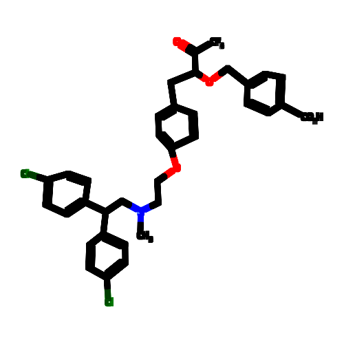 CN(CCOc1ccc(CC(OCc2ccc(C(=O)O)cc2)C(=O)C(F)(F)F)cc1)CC(c1ccc(Cl)cc1)c1ccc(Cl)cc1